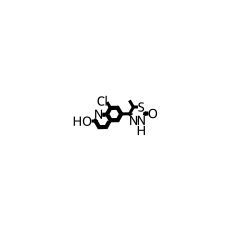 CC1SC(=O)NN=C1c1cc(Cl)c2nc(O)ccc2c1